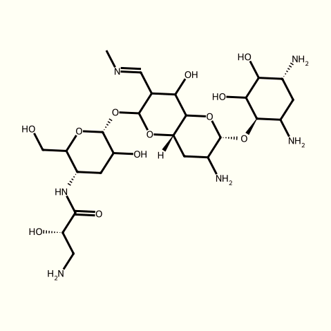 C/N=C/C1C(O[C@H]2OC(CO)[C@@H](NC(=O)[C@@H](O)CN)CC2O)O[C@H]2CC(N)[C@@H](O[C@@H]3C(N)C[C@@H](N)C(O)C3O)OC2C1O